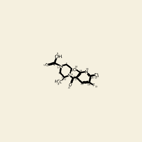 C[C@H]1CN(C(=O)O)CCN1C(=O)c1cc(F)c(Cl)nc1Cl